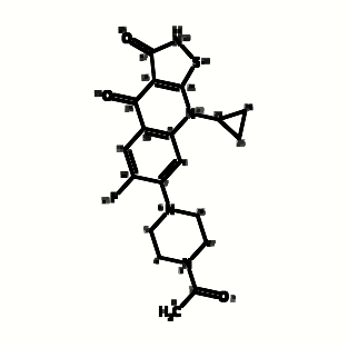 CC(=O)N1CCN(c2cc3c(cc2F)c(=O)c2c(=O)[nH]sc2n3C2CC2)CC1